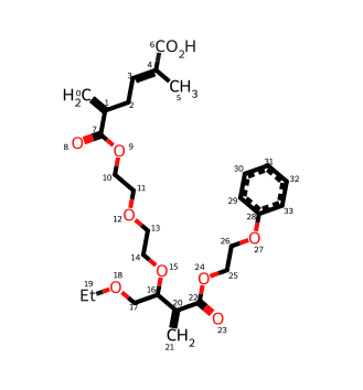 C=C(CC=C(C)C(=O)O)C(=O)OCCOCCOC(COCC)C(=C)C(=O)OCCOc1ccccc1